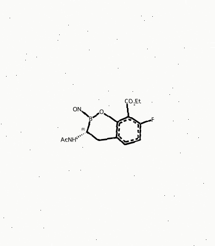 CCOC(=O)c1c(F)ccc2c1OB(N=O)[C@@H](NC(C)=O)C2